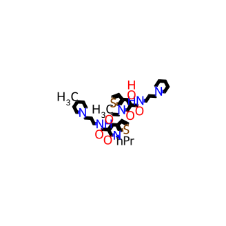 CCCn1c(=O)c(C(=O)NCCCN2CCC(C)CC2)c(OC(C)Cn2c(=O)c(C(=O)NCCCN3CCCCC3)c(O)c3ccsc32)c2ccsc21